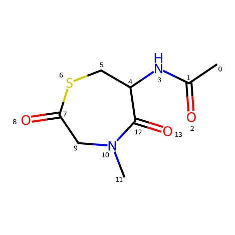 CC(=O)NC1CSC(=O)CN(C)C1=O